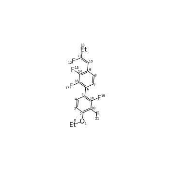 CCOc1ccc(-c2ccc(/C=C(\F)CC)c(F)c2F)c(F)c1F